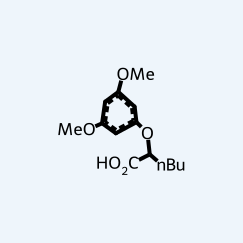 CCCCC(Oc1cc(OC)cc(OC)c1)C(=O)O